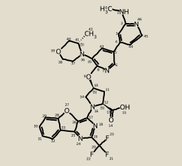 CNc1cc(-c2cnc(O[C@H]3C[C@@H](C(=O)O)N(c4nc(C(F)(F)F)nc5c4oc4ccccc45)C3)c(N3CCOC[C@@H]3C)c2)ccn1